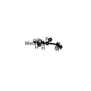 COC(=O)N[C@H](C(=O)N1CCC[C@H]1c1ncc(-c2ccc(C#CC#Cc3cnc(C4CCCN4)[nH]3)c(-c3ccccc3F)c2)[nH]1)C(C)C